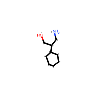 NCC(CO)C1CCCCC1